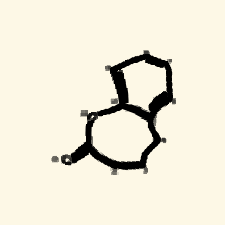 O=C1CC[C]c2ccccc2O1